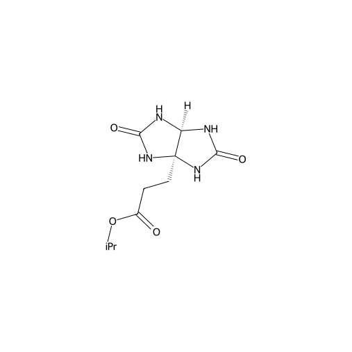 CC(C)OC(=O)CC[C@]12NC(=O)N[C@H]1NC(=O)N2